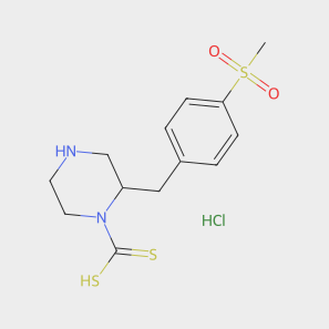 CS(=O)(=O)c1ccc(CC2CNCCN2C(=S)S)cc1.Cl